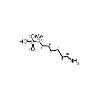 COP(=O)(O)OCCCCCCN